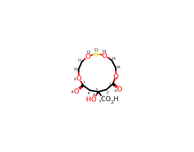 O=C1CC(O)(C(=O)O)CC(=O)OCCOSOCCO1